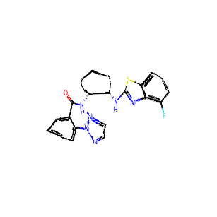 O=C(N[C@@H]1CCC[C@@H]1Nc1nc2c(F)cccc2s1)c1ccccc1-n1nccn1